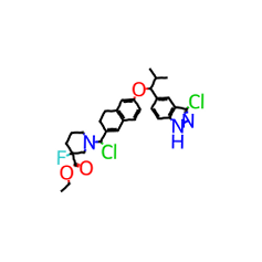 CCOC(=O)C1(F)CCCN(C(Cl)C2=Cc3ccc(OC(c4ccc5[nH]nc(Cl)c5c4)C(C)C)cc3CC2)C1